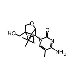 Cc1cn(C2OC3(CO)COC2[C@H]3C(C)(C)C)c(=O)nc1N